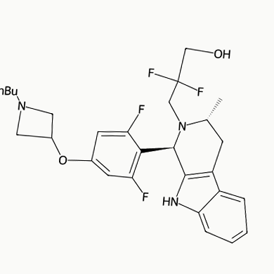 CCCCN1CC(Oc2cc(F)c([C@@H]3c4[nH]c5ccccc5c4C[C@@H](C)N3CC(F)(F)CO)c(F)c2)C1